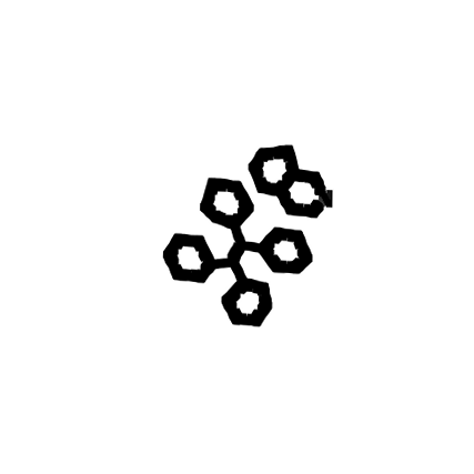 c1ccc(C(=C(c2ccccc2)c2ccccc2)c2ccccc2)cc1.c1ccc2cnccc2c1